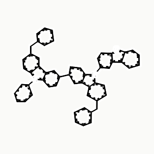 c1ccc(Cc2ccc3c(c2)c2cc(-c4ccc5c(c4)c4cc(Cc6ccccc6)ccc4n5-c4ccc5oc6ccccc6c5c4)ccc2n3-c2ccccc2)cc1